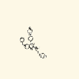 C=C(/C=C\C(=C/C)c1nc(NCCCN2CCOCC2)nc2c1CN(Cc1ccccc1)CC2)N1CCN(C)CC1